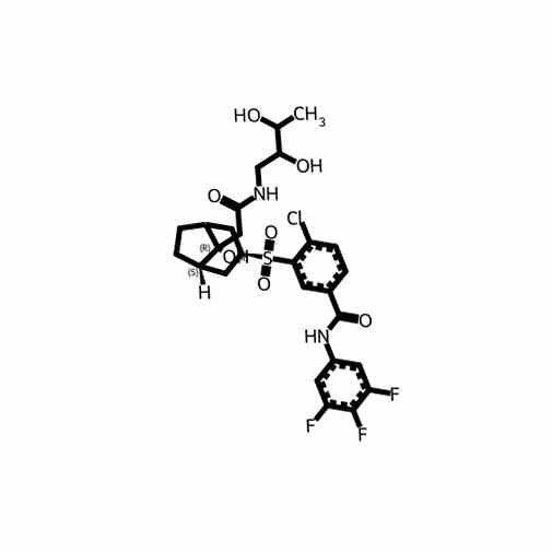 CC(O)C(O)CNC(=O)C[C@@]1(O)C2CC[C@H]1C[C@H](S(=O)(=O)c1cc(C(=O)Nc3cc(F)c(F)c(F)c3)ccc1Cl)C2